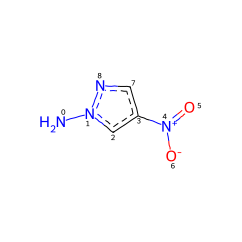 Nn1cc([N+](=O)[O-])cn1